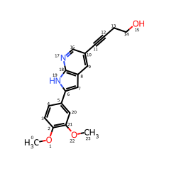 COc1ccc(-c2cc3cc(C#CCCO)cnc3[nH]2)cc1OC